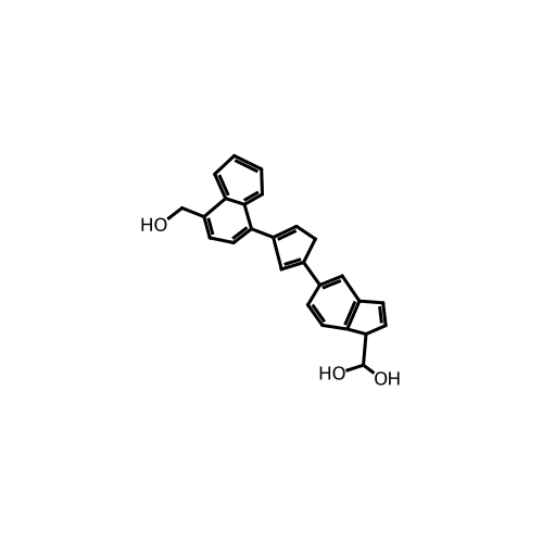 OCc1ccc(C2=CCC(c3ccc4c(c3)C=CC4C(O)O)=C2)c2ccccc12